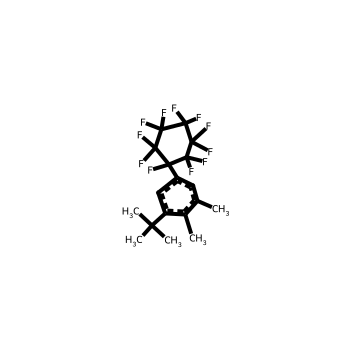 Cc1cc(C2(F)C(F)(F)C(F)(F)C(F)(F)C(F)(F)C2(F)F)cc(C(C)(C)C)c1C